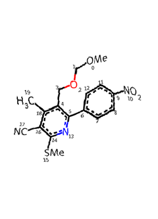 COCOCc1c(-c2ccc([N+](=O)[O-])cc2)nc(SC)c(C#N)c1C